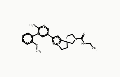 CCNC(=O)N1CC[C@@]2(CCn3nc(-c4cnc(N)c(-c5ccccc5OC)c4)cc32)C1